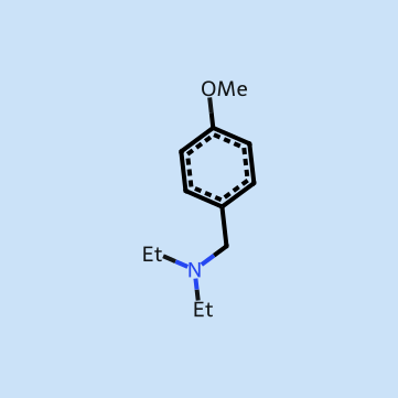 CCN(CC)Cc1ccc(OC)cc1